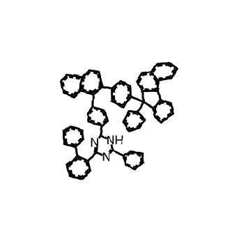 c1ccc(C2=NC(c3ccccc3-c3ccccc3)=NC(c3ccc(-c4c(-c5ccc(C6(c7ccccc7)c7ccccc7-c7c6ccc6ccccc76)cc5)ccc5ccccc45)cc3)N2)cc1